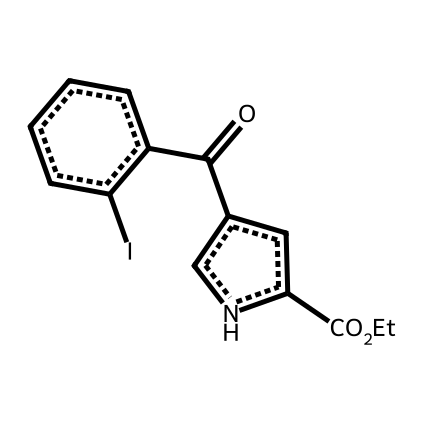 CCOC(=O)c1cc(C(=O)c2ccccc2I)c[nH]1